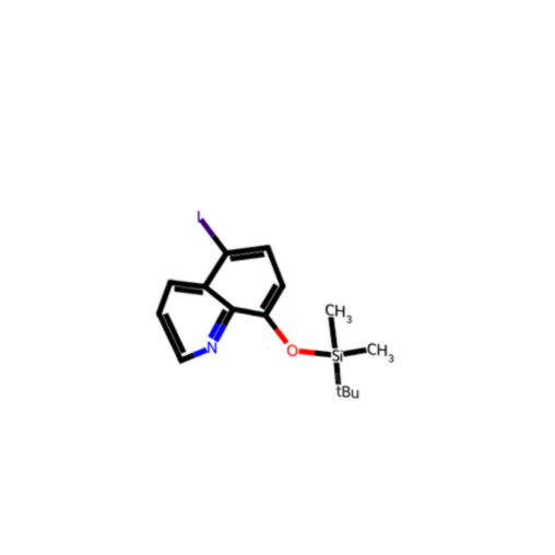 CC(C)(C)[Si](C)(C)Oc1ccc(I)c2cccnc12